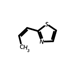 C/C=C\c1nccs1